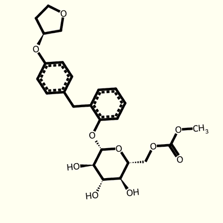 COC(=O)OC[C@H]1O[C@@H](Oc2ccccc2Cc2ccc(O[C@H]3CCOC3)cc2)[C@H](O)[C@@H](O)[C@@H]1O